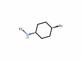 CCN[C@H]1CC[C@@H](C(C)=O)CC1